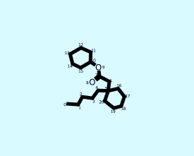 CCCCCC1(CC(=O)OC2CCCCC2)CCCCC1